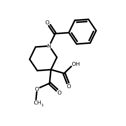 COC(=O)C1(C(=O)O)CCCN(C(=O)c2ccccc2)C1